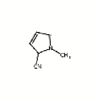 CN1[C]C=CC1C#N